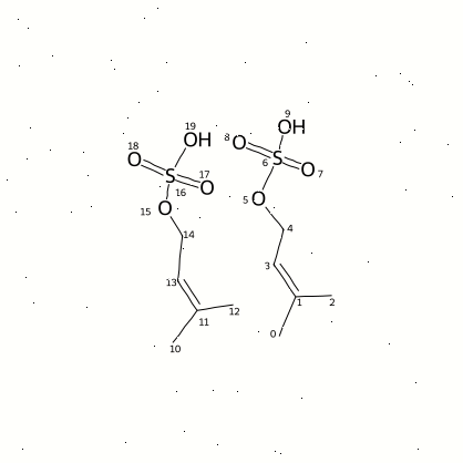 CC(C)=CCOS(=O)(=O)O.CC(C)=CCOS(=O)(=O)O